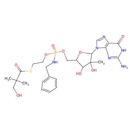 CC(C)(CO)C(=O)SCCOP(=O)(NCc1ccccc1)OCC1OC(n2cnc3c(=O)[nH]c(N)nc32)C(C)(O)C1O